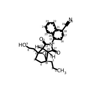 CCC[C@@]12CCC(CCO)(O1)[C@@H]1C(=O)N(c3ccc(C#N)c4ccccc34)C(=O)[C@@H]12